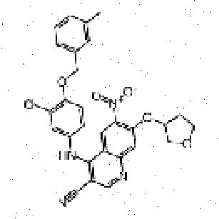 Cc1cccc(COc2ccc(Nc3c(C#N)cnc4cc(OC5CCOC5)c([N+](=O)[O-])cc34)cc2Cl)c1